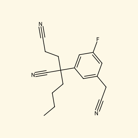 CCCCC(C#N)(CCC#N)c1cc(F)cc(CC#N)c1